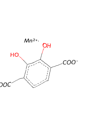 O=C([O-])c1ccc(C(=O)[O-])c(O)c1O.[Mn+2]